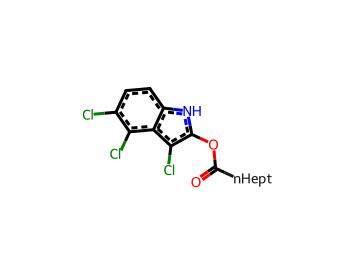 CCCCCCCC(=O)Oc1[nH]c2ccc(Cl)c(Cl)c2c1Cl